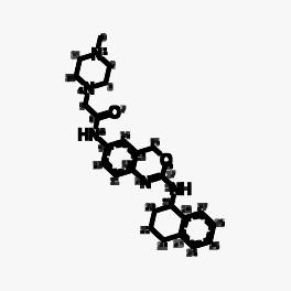 CN1CCN(CC(=O)Nc2ccc3c(c2)COC(NC2CCCc4ccccc42)=N3)CC1